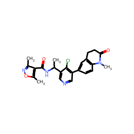 Cc1noc(C)c1C(=O)NC(C)c1cncc(-c2ccc3c(c2)CCC(=O)N3C)c1Cl